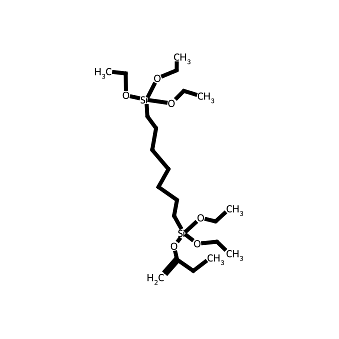 C=C(CC)O[Si](CCCCCCC[Si](OCC)(OCC)OCC)(OCC)OCC